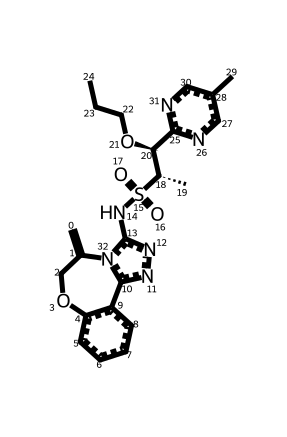 C=C1COc2ccccc2-c2nnc(NS(=O)(=O)[C@@H](C)[C@@H](OCCC)c3ncc(C)cn3)n21